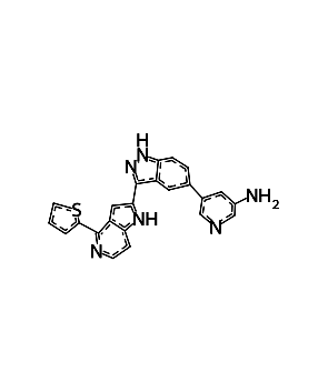 Nc1cncc(-c2ccc3[nH]nc(-c4cc5c(-c6cccs6)nccc5[nH]4)c3c2)c1